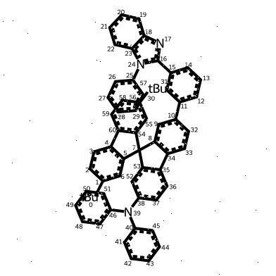 CC(C)(C)c1ccc2c(c1)C1(c3cc(-c4cccc(-c5nc6ccccc6n5-c5ccccc5)c4)ccc3-c3ccc(N(c4ccccc4)c4ccccc4)cc31)c1cc(C(C)(C)C)ccc1-2